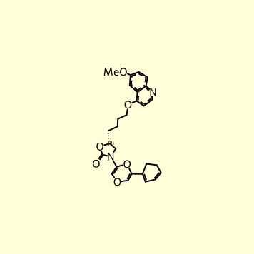 COc1ccc2nccc(OCCCC[C@@H]3CN(C4=COC=C(C5=CC=CCC5)O4)C(=O)O3)c2c1